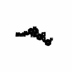 CNN=Cc1ccc2ncnc(Nc3ccc(OCc4cccc(F)c4)c(Cl)c3)c2c1